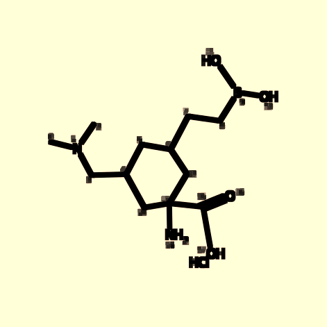 CN(C)CC1CC(CCB(O)O)CC(N)(C(=O)O)C1.Cl